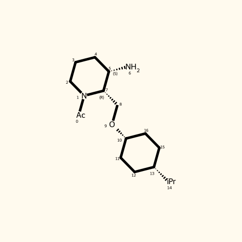 CC(=O)N1CCC[C@H](N)[C@@H]1CO[C@H]1CC[C@@H](C(C)C)CC1